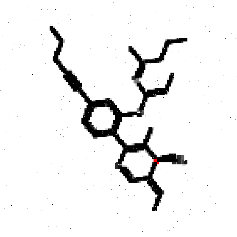 C\C=C(/C=N\C(=C(\C)CC)c1ccc(C#CCCC)cc1OC(=C/C)/N=C(/C)CCC)CN